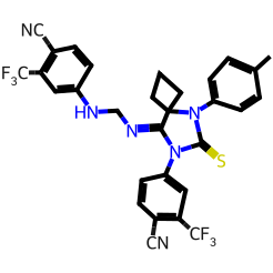 Cc1ccc(N2C(=S)N(c3ccc(C#N)c(C(F)(F)F)c3)/C(=N/CNc3ccc(C#N)c(C(F)(F)F)c3)C23CCC3)cc1